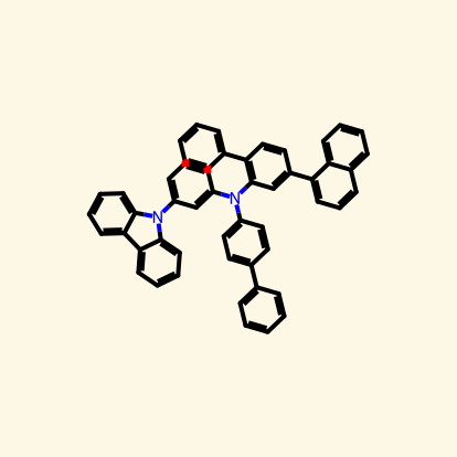 c1ccc(-c2ccc(N(c3cccc(-n4c5ccccc5c5ccccc54)c3)c3cc(-c4cccc5ccccc45)ccc3-c3ccccc3)cc2)cc1